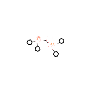 O=P(OCc1ccccc1)(OCc1ccccc1)OCC(O)COP(=O)(OCc1ccccc1)OCc1ccccc1